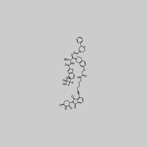 CC(C)(C)[C@H](NC(=O)c1cc2cc(C(F)(F)P(=O)(O)O)ccc2s1)C(=O)N1Cc2cc(OCC(=O)NCCCCC#Cc3cccc4c3C(=O)N(C3CCC(=O)NC3=O)C4=O)ccc2C[C@H]1C(=O)N1CCOC(c2ccccc2)C1